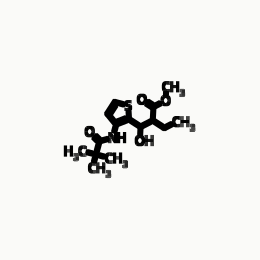 CCC(C(=O)OC)C(O)c1sccc1NC(=O)C(C)(C)C